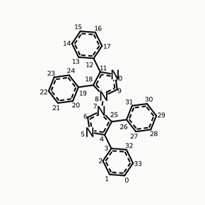 c1ccc(-c2ncn(-n3cnc(-c4ccccc4)c3-c3ccccc3)c2-c2ccccc2)cc1